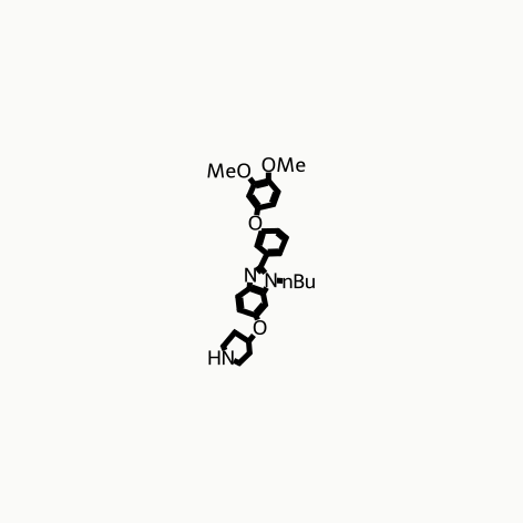 CCCCn1c(-c2cccc(Oc3ccc(OC)c(OC)c3)c2)nc2ccc(OC3CCNCC3)cc21